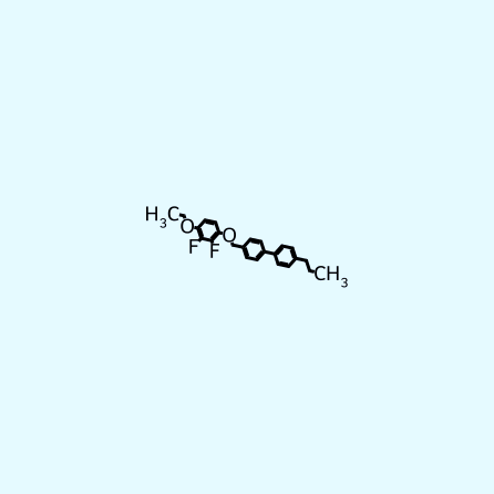 CCCc1ccc(-c2ccc(COc3ccc(OCC)c(F)c3F)cc2)cc1